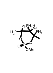 COP1(=O)OC(P)(P)C(P)(P)C(P)(I)O1